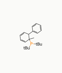 CC(C)(C)P(C(C)(C)C)C1(C)C=CC=CC1c1ccccc1